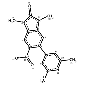 Cc1cc(-c2cc3c(cc2[N+](=O)[O-])n(C)c(=O)n3C)cc(C)n1